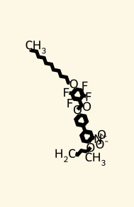 C=CCC(C)Oc1ccc(-c2ccc(OC(=O)c3c(F)c(F)c(OCCCCCCCCCCCC)c(F)c3F)cc2)cc1[N+](=O)[O-]